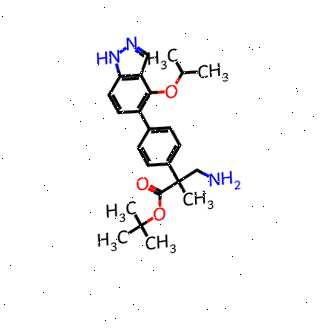 CC(C)Oc1c(-c2ccc(C(C)(CN)C(=O)OC(C)(C)C)cc2)ccc2[nH]ncc12